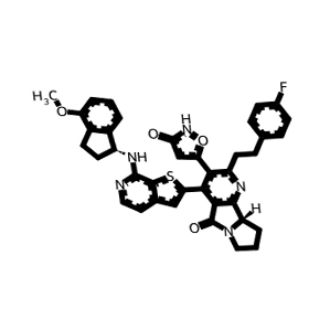 COc1cccc2c1CC[C@H]2Nc1nccc2cc(-c3c4c(nc(CCc5ccc(F)cc5)c3-c3cc(=O)[nH]o3)[C@@H]3CCCN3C4=O)sc12